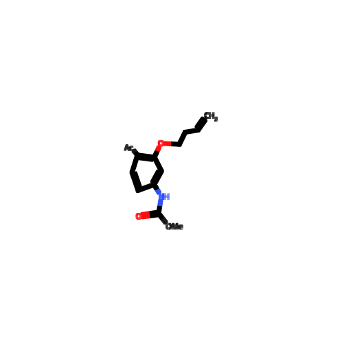 C=CCCOc1cc(NC(=O)OC)ccc1C(C)=O